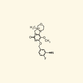 COc1c(OCc2ccc(F)c(C#N)c2)nc(=O)n2c1N1CCOC[C@@]1(C)C2